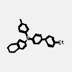 CCc1ccc(-c2ccc(N(c3ccc(C)cc3)c3ccc4c(c3)CCCC4)cc2)cc1